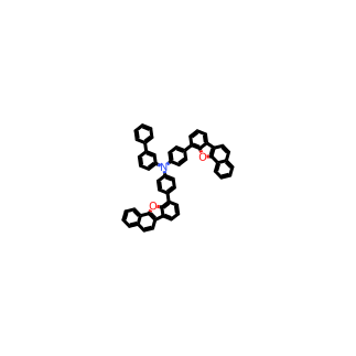 c1ccc(-c2cccc(N(c3ccc(-c4cccc5c4oc4c6ccccc6ccc54)cc3)c3ccc(-c4cccc5c4oc4c6ccccc6ccc54)cc3)c2)cc1